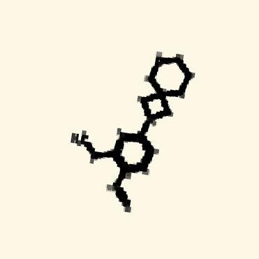 COc1nc(N2CC3(CCCOC3)C2)ccc1N=O